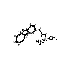 CN(C)CCCc1ccc2sc3ccccc3c2c1